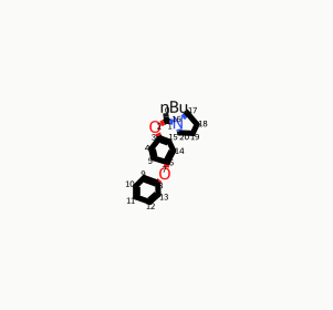 CCCCC(Oc1ccc(Oc2ccccc2)cc1)N1CCCC1